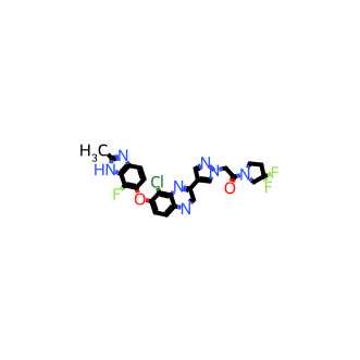 Cc1nc2ccc(Oc3ccc4ncc(-c5cnn(CC(=O)N6CCC(F)(F)C6)c5)nc4c3Cl)c(F)c2[nH]1